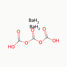 O=C(O)OC(=O)OC(=O)O.[BaH2].[BaH2]